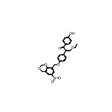 CCOC=C(C(=O)c1ccc(O)cc1)c1ccc(OCc2cc([N+](=O)[O-])cc3c2OCOC3)cc1